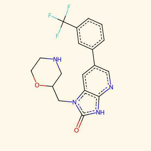 O=c1[nH]c2ncc(-c3cccc(C(F)(F)F)c3)cc2n1CC1CNCCO1